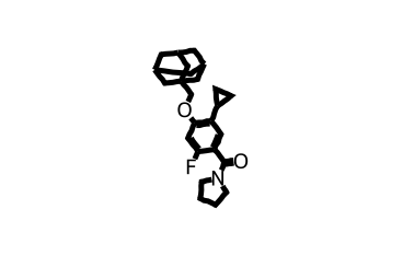 O=C(c1cc(C2CC2)c(OCC23CC4CC(CC(C4)C2)C3)cc1F)N1CCCC1